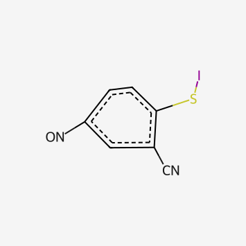 N#Cc1cc(N=O)ccc1SI